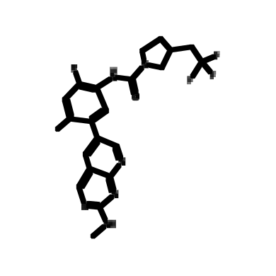 CNc1ncc2cc(-c3cc(NC(=O)N4CCC(CC(F)(F)F)C4)c(F)cc3C)cnc2n1